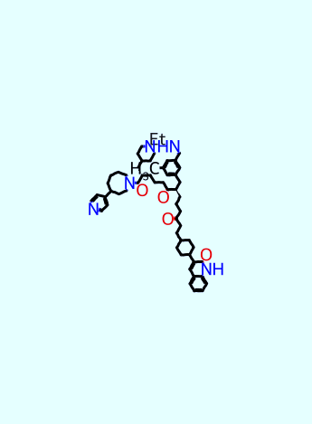 CCN1CCC(C[C@H](CCCC(=O)[C@H](CCCC(=O)CCC2CCC(c3cc4ccccc4[nH]c3=O)CC2)Cc2cc(C)cc(C=N)c2)C(=O)N2CCCCC(c3ccncc3)CC2)CC1